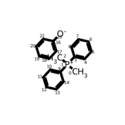 C[P+](C)(c1ccccc1)c1ccccc1.[O-]c1ccccc1